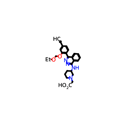 C#Cc1ccc(-c2nnc(NC3CCCN(CC(=O)O)C3)c3ccccc23)c(OCOCC)c1